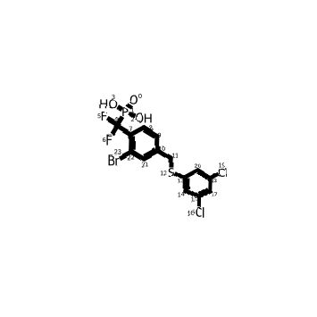 O=P(O)(O)C(F)(F)c1ccc(CSc2cc(Cl)cc(Cl)c2)cc1Br